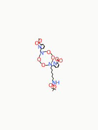 COC(=O)c1cccc(CN2CCOCCOCCN(C(CCCCCCCNC(=O)OC(C)(C)C)c3cccc(C(=O)OC)n3)CCOCCOCC2)n1